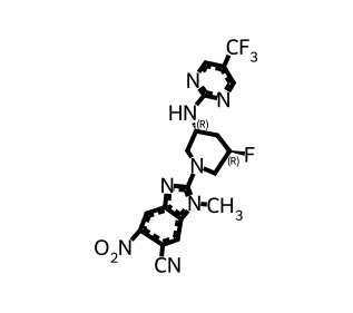 Cn1c(N2C[C@H](F)C[C@@H](Nc3ncc(C(F)(F)F)cn3)C2)nc2cc([N+](=O)[O-])c(C#N)cc21